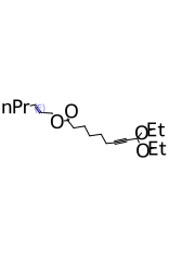 CCC/C=C/COC(=O)CCCCCC#CC(OCC)OCC